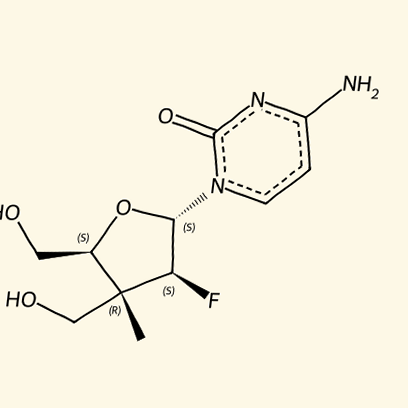 C[C@]1(CO)[C@H](F)[C@@H](n2ccc(N)nc2=O)O[C@@H]1CO